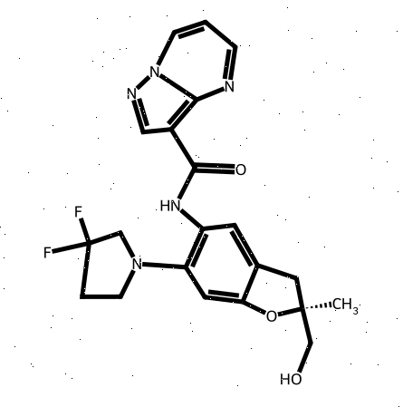 C[C@@]1(CO)Cc2cc(NC(=O)c3cnn4cccnc34)c(N3CCC(F)(F)C3)cc2O1